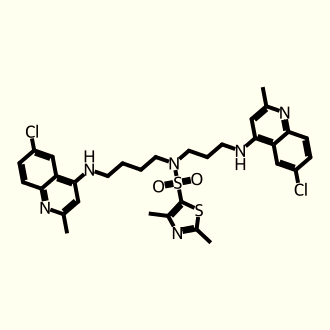 Cc1cc(NCCCCN(CCCNc2cc(C)nc3ccc(Cl)cc23)S(=O)(=O)c2sc(C)nc2C)c2cc(Cl)ccc2n1